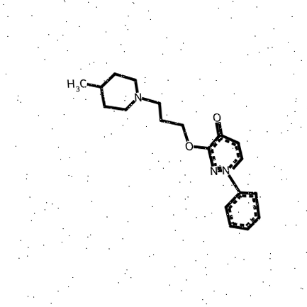 CC1CCN(CCCOc2nn(-c3ccccc3)ccc2=O)CC1